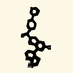 O=C([C@H]1Cc2cc(Cl)cc(-c3ccnc4[nH]ccc34)c2O1)N1CCN(c2cccnc2)CC1